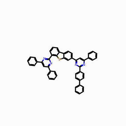 c1ccc(-c2ccc(-c3nc(-c4ccccc4)cc(-c4ccc5c(c4)sc4c(-c6nc(-c7ccccc7)cc(-c7ccccc7)n6)cccc45)n3)cc2)cc1